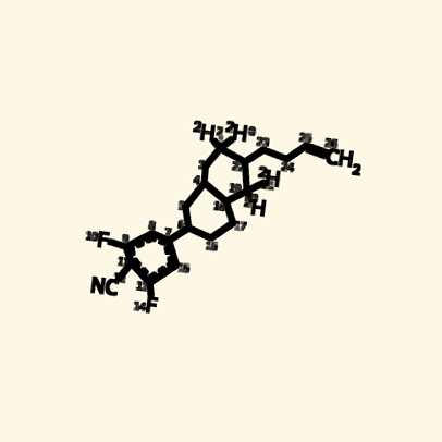 [2H]C1([2H])CC2CC(c3cc(F)c(C#N)c(F)c3)CCC2C([2H])([2H])C1CCC=C